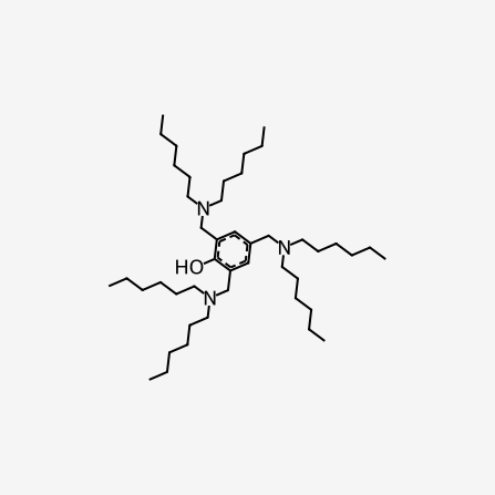 CCCCCCN(CCCCCC)Cc1cc(CN(CCCCCC)CCCCCC)c(O)c(CN(CCCCCC)CCCCCC)c1